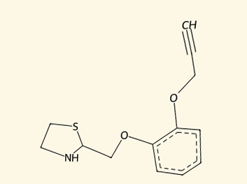 C#CCOc1ccccc1OCC1NCCS1